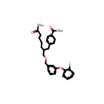 COC(=O)CCCCC(COCc1cccc(Oc2ccccc2F)c1)Cc1ccc(C(=O)OC)cc1